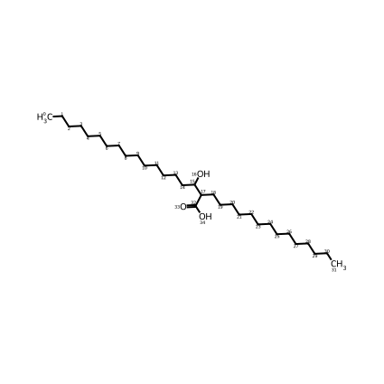 CCCCCCCCCCCCCCCC(O)C(CCCCCCCCCCCCCC)C(=O)O